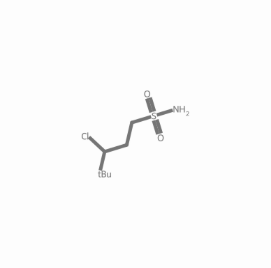 CC(C)(C)C(Cl)CCS(N)(=O)=O